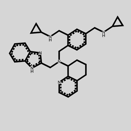 c1cnc2c(c1)CCCC2N(Cc1nc2ccccc2[nH]1)Cc1ccc(CNC2CC2)cc1CNC1CC1